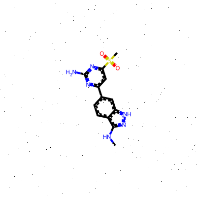 CNc1n[nH]c2cc(-c3cc(S(C)(=O)=O)nc(N)n3)ccc12